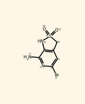 Nc1nc(Br)cc2c1NS(=O)(=O)C2